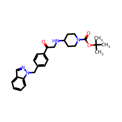 CC(C)(C)OC(=O)N1CCC(NCC(=O)c2ccc(Cn3ncc4ccccc43)cc2)CC1